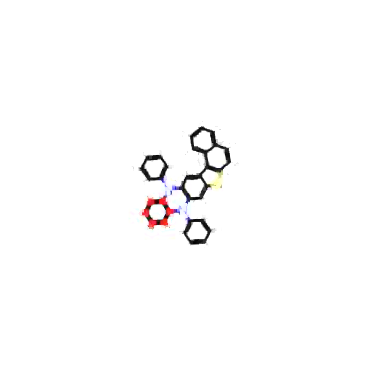 c1ccc(N(c2ccccc2)c2cc3sc4ccc5ccccc5c4c3cc2N(c2ccccc2)c2ccccc2)cc1